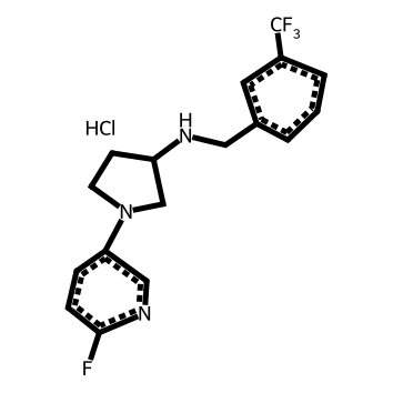 Cl.Fc1ccc(N2CCC(NCc3cccc(C(F)(F)F)c3)C2)cn1